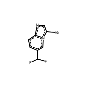 FC(F)c1ccc2ncc(Br)n2c1